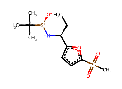 CC[C@H](N[S@+]([O-])C(C)(C)C)c1ccc(S(C)(=O)=O)o1